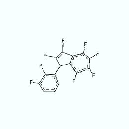 FC1=C(F)C(c2cccc(F)c2F)c2c(F)c(F)c(F)c(F)c21